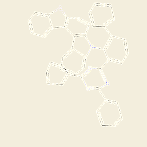 c1ccc(-c2nc(-c3ccccc3)nc(-c3cccc(-c4ccccc4)c3-n3c4ccccc4c4c5c(ccc43)sc3ccccc35)n2)cc1